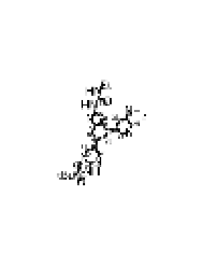 CCNC(=O)Nc1nc2cc(-c3cnc(NS(=O)(=O)C(C)(C)C)nc3)cc(-c3cncc(N)c3)c2s1